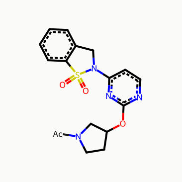 CC(=O)N1CCC(Oc2nccc(N3Cc4ccccc4S3(=O)=O)n2)C1